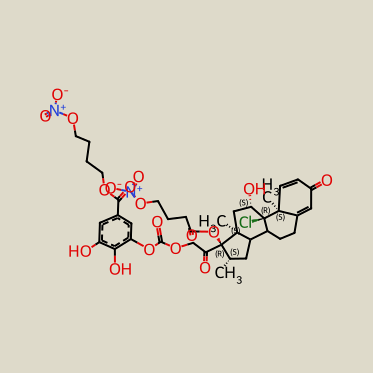 C[C@H]1CC2C3CCC4=CC(=O)C=C[C@]4(C)[C@@]3(Cl)[C@@H](O)C[C@]2(C)[C@@]1(OC(=O)CCCO[N+](=O)[O-])C(=O)COC(=O)Oc1cc(C(=O)OCCCCO[N+](=O)[O-])cc(O)c1O